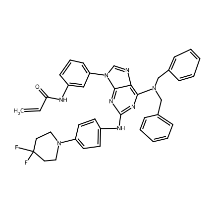 C=CC(=O)Nc1cccc(-n2cnc3c(N(Cc4ccccc4)Cc4ccccc4)nc(Nc4ccc(N5CCC(F)(F)CC5)cc4)nc32)c1